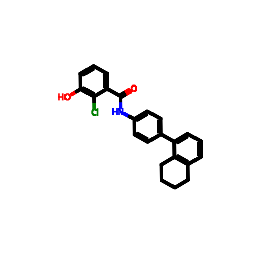 O=C(Nc1ccc(-c2cccc3c2CCCC3)cc1)c1cccc(O)c1Cl